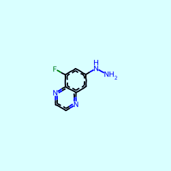 NNc1cc(F)c2nccnc2c1